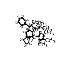 CC1=C(C)C(C)[C]([Zr]([CH]2C(C)=C(c3ccccc3)c3cc4c(cc32)CCC4)=[Si](C)C)=C1C